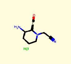 Cl.N#CCN1CCCC(N)C1=C=O